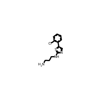 NCCCNc1ncc(-c2ccc[c]c2Cl)s1